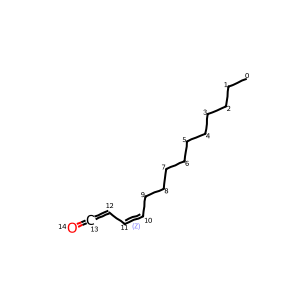 CCCCCCCCCC/C=C\C=C=O